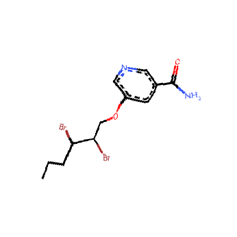 CCCC(Br)C(Br)COc1cncc(C(N)=O)c1